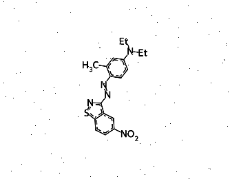 CCN(CC)c1ccc(N=Nc2nsc3ccc([N+](=O)[O-])cc23)c(C)c1